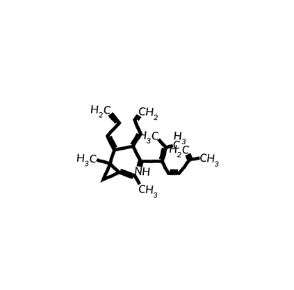 C=C/C=C(\C(=C/C=C)C(=N)C(/C=C\C(=C)C)=C(C)C)C1(C)C/C1=C\C